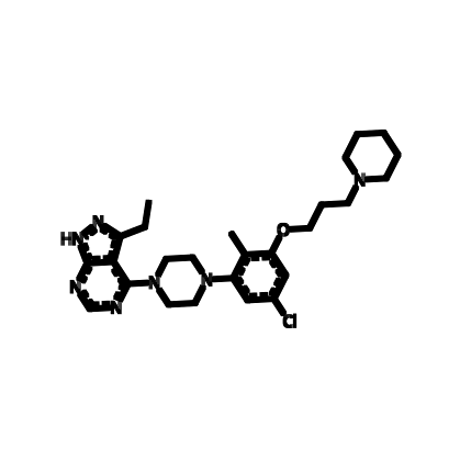 CCc1n[nH]c2ncnc(N3CCN(c4cc(Cl)cc(OCCCN5CCCCC5)c4C)CC3)c12